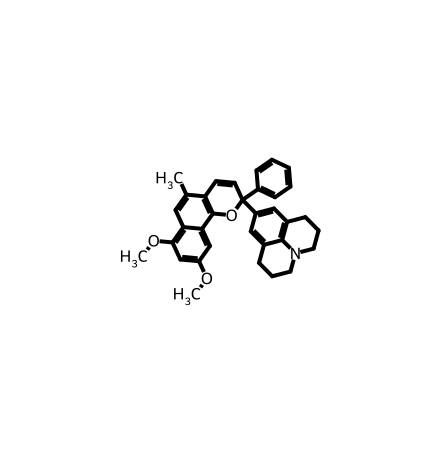 COc1cc(OC)c2cc(C)c3c(c2c1)OC(c1ccccc1)(c1cc2c4c(c1)CCCN4CCC2)C=C3